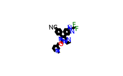 CN1CCCC(COc2nc(-c3ccc(C#N)cc3)c(-c3ccc4c(c3)nc(C(F)F)n4C)c3nccn23)C1